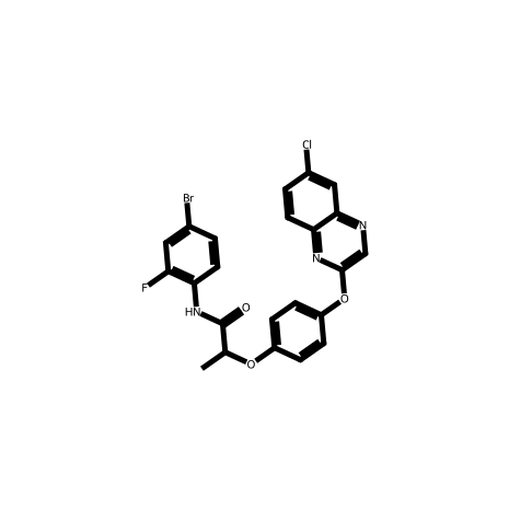 CC(Oc1ccc(Oc2cnc3cc(Cl)ccc3n2)cc1)C(=O)Nc1ccc(Br)cc1F